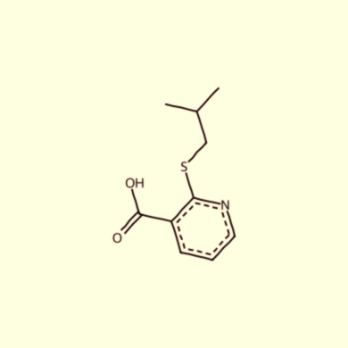 CC(C)CSc1ncccc1C(=O)O